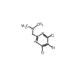 CCc1c(Cl)nc(CN(C)C)nc1Cl